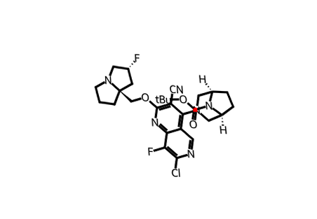 CC(C)(C)OC(=O)N1[C@@H]2CC[C@H]1CN(c1c(C#N)c(OC[C@@]34CCCN3C[C@H](F)C4)nc3c(F)c(Cl)ncc13)C2